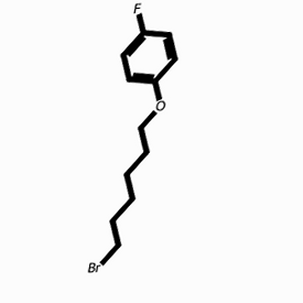 Fc1ccc(OCCCCCCBr)cc1